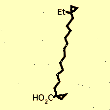 CCC1(CCCCCCCCCCCCC2(C(=O)O)CC2)CC1